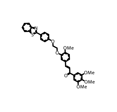 COc1ccc(/C=C/C(=O)c2cc(OC)c(OC)c(OC)c2)cc1OCCOc1ccc(-c2nc3ccccc3s2)cc1